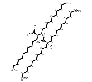 CCCCCCCCCCCCCCCCCCCCN(CCCCCCCCCCCCCCCCCCCC)C(=S)[S-].CCCCCCCCCCCCCCCCCCCCN(CCCCCCCCCCCCCCCCCCCC)C(=S)[S-].[Zn+2]